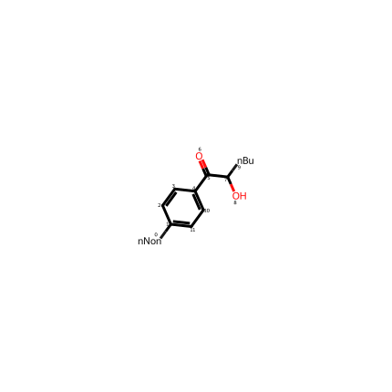 CCCCCCCCCc1ccc(C(=O)C(O)CCCC)cc1